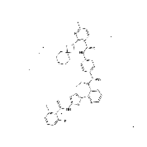 Cc1ccc(C(=O)Nc2ccc(C(=O)N3CCc4cc(NC(=O)c5c(F)cccc5F)sc4-c4ncccc43)cc2)c(N2CC3(CCOCC3)C2)n1